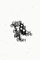 C[C@]12CC[C@@H]3c4ccc(O)cc4CC[C@H]3[C@@H]1CC[C@@H]2O.N[C@@H](CCC(=O)N[C@@H](CS)C(=O)NCC(=O)O)C(=O)O